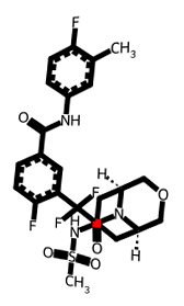 Cc1cc(NC(=O)c2ccc(F)c(C(F)(F)C(=O)N3[C@@H]4COC[C@H]3CC(NS(C)(=O)=O)C4)c2)ccc1F